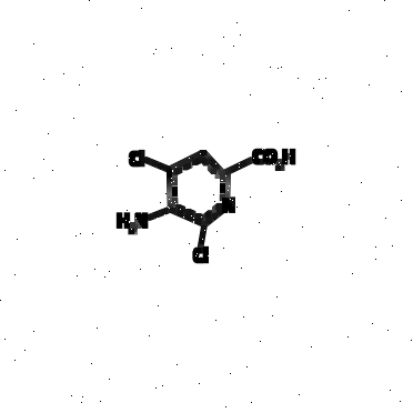 Nc1c(Cl)cc(C(=O)O)nc1Cl